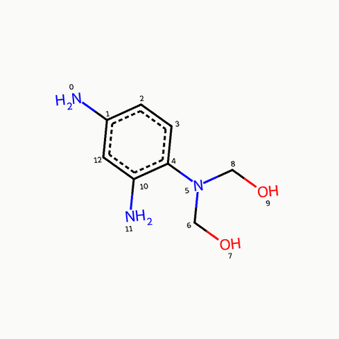 Nc1ccc(N(CO)CO)c(N)c1